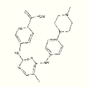 Cc1cnc(Nc2ccc(C(=O)O)cc2)nc1Nc1ccc(N2CCN(C)CC2)cc1